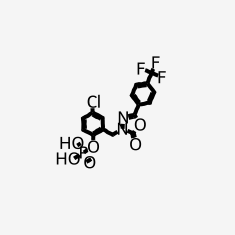 O=c1oc(-c2ccc(C(F)(F)F)cc2)nn1Cc1cc(Cl)ccc1OP(=O)(O)O